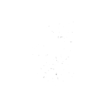 C=C1[C@H](OC(C)=O)C2C(C)=C(OC(=O)[C@H](O)[C@@H](NC(=O)NC(C)(C)C)c3ccccc3)C[C@@](O)([C@@H](OC(=O)c3ccccc3)[C@@H]3[C@]4(OC(C)=O)CO[C@@H]4C[C@@H]4C[C@@]143)C2(C)C